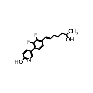 CC(O)CCC/C=C/c1ccc(-c2ccc(O)nc2)c(F)c1F